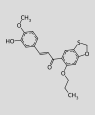 CCCOc1cc2c(cc1C(=O)C=Cc1ccc(OC)c(O)c1)SCO2